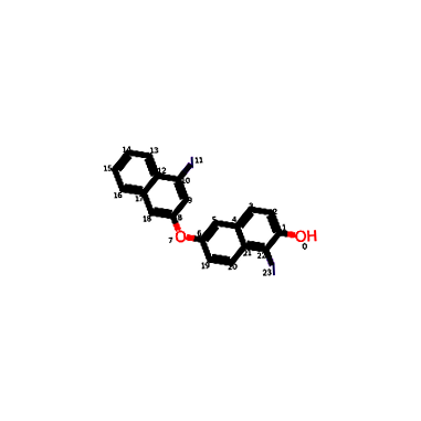 Oc1ccc2cc(Oc3cc(I)c4ccccc4c3)ccc2c1I